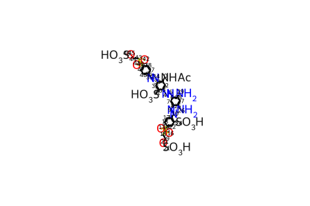 CC(=O)Nc1cc(/N=N/c2cc(/N=N/c3ccc(S(=O)(=O)CCOS(=O)(=O)O)cc3S(=O)(=O)O)c(N)cc2N)c(S(=O)(=O)O)cc1/N=N/c1ccc(S(=O)(=O)CCOS(=O)(=O)O)cc1